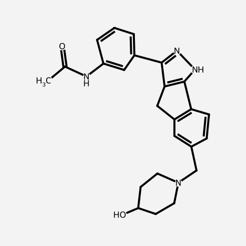 CC(=O)Nc1cccc(-c2n[nH]c3c2Cc2cc(CN4CCC(O)CC4)ccc2-3)c1